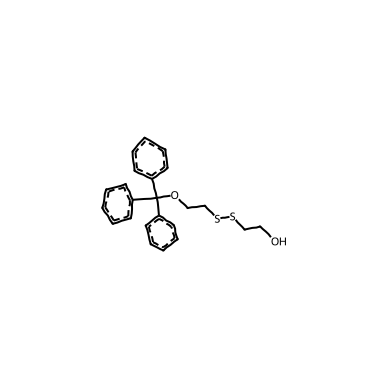 OCCSSCCOC(c1ccccc1)(c1ccccc1)c1ccccc1